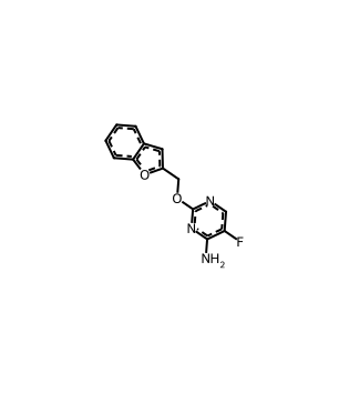 Nc1nc(OCc2cc3ccccc3o2)ncc1F